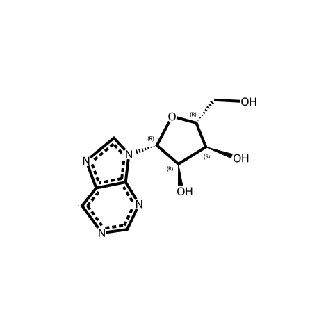 OC[C@H]1O[C@@H](n2cnc3[c]ncnc32)[C@H](O)[C@@H]1O